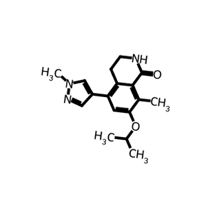 Cc1c(OC(C)C)cc(-c2cnn(C)c2)c2c1C(=O)NCC2